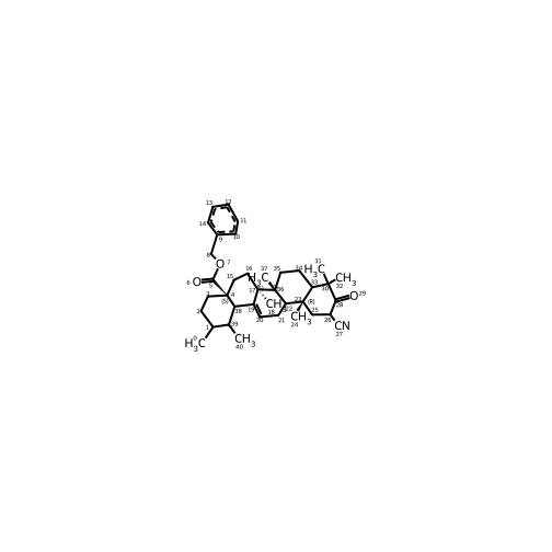 CC1CC[C@]2(C(=O)OCc3ccccc3)CC[C@]3(C)C(=CCC4[C@@]5(C)CC(C#N)C(=O)C(C)(C)C5CC[C@]43C)C2C1C